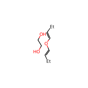 CC/C=C/O/C=C/CC.OCCO